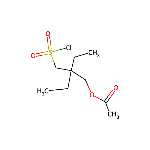 CCC(CC)(COC(C)=O)CS(=O)(=O)Cl